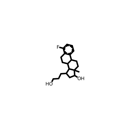 CC12CCC3c4cccc(F)c4CCC3C1C(CCCO)CC2O